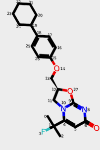 CC(C)(F)c1cc(=O)nc2n1C[C@@H](COc1ccc(C3CCCCC3)cc1)O2